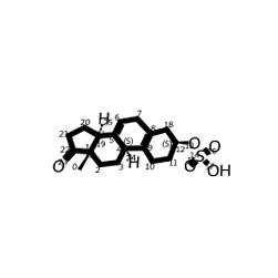 C[C@]12CC[C@H]3C(=CCC4=C3CC[C@H](OS(=O)(=O)O)C4)[C@@H]1CCC2=O